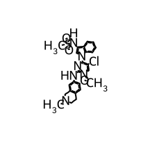 COc1cc2c(cc1Nc1ncc(Cl)c(-n3cc(NS(C)(=O)=O)c4ccccc43)n1)CN(C)CC2